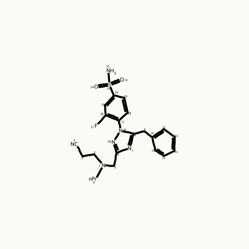 CCCN(CCC#N)Cc1nc(Cc2ccccc2)n(-c2ccc(S(N)(=O)=O)cc2F)n1